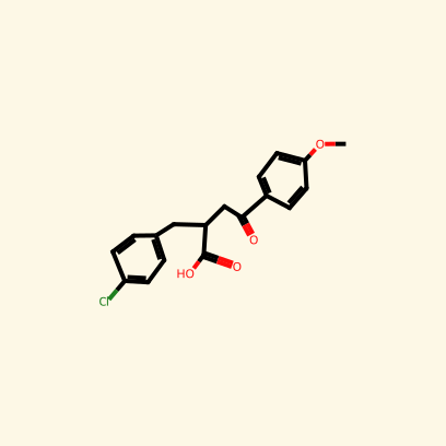 COc1ccc(C(=O)CC(Cc2ccc(Cl)cc2)C(=O)O)cc1